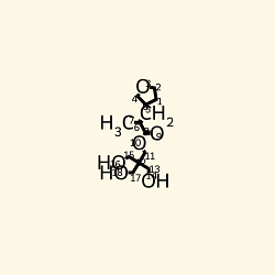 C1CCOC1.C=C(C)C(=O)OCC(CO)(CO)CO